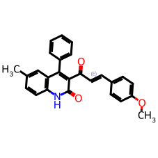 COc1ccc(/C=C/C(=O)c2c(-c3ccccc3)c3cc(C)ccc3[nH]c2=O)cc1